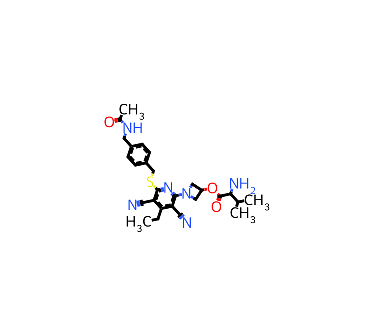 CCc1c(C#N)c(SCc2ccc(CNC(C)=O)cc2)nc(N2CC(OC(=O)C(N)C(C)C)C2)c1C#N